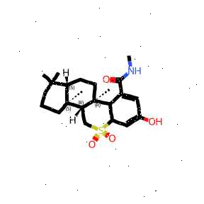 CNC(=O)C1=CC(O)=CC2C1[C@]1(C)CC[C@H]3C(C)(C)CCC[C@]3(C)[C@H]1CS2(=O)=O